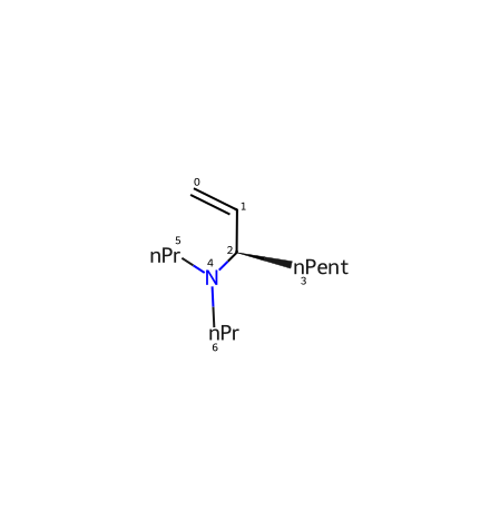 C=C[C@@H](CCCCC)N(CCC)CCC